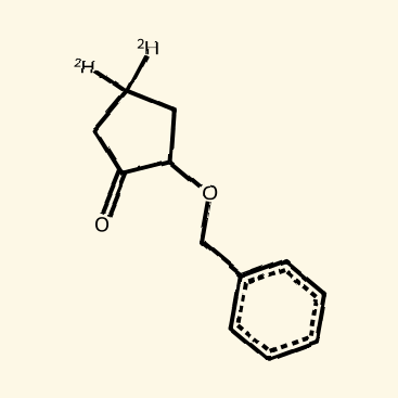 [2H]C1([2H])CC(=O)C(OCc2ccccc2)C1